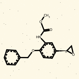 COC(=O)Nc1cc([C@H]2CO2)ccc1OCc1ccccc1